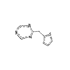 c1csc(Cc2ncncn2)c1